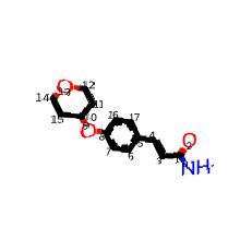 [NH]C(=O)C=Cc1ccc(OC2CCOCC2)cc1